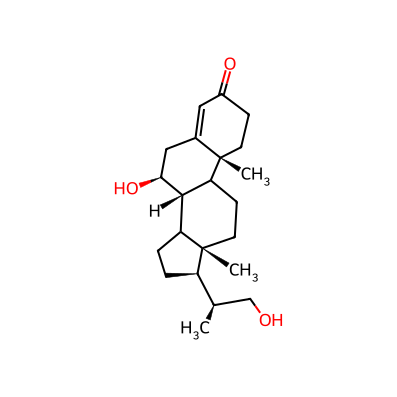 C[C@H](CO)[C@H]1CCC2[C@H]3C(CC[C@@]21C)[C@@]1(C)CCC(=O)C=C1C[C@@H]3O